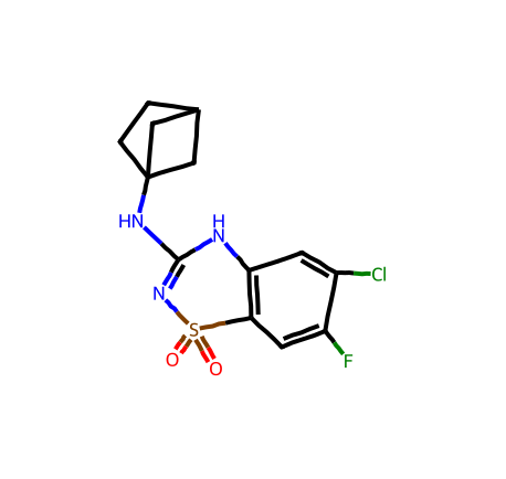 O=S1(=O)N=C(NC23CCC(C2)C3)Nc2cc(Cl)c(F)cc21